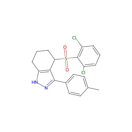 Cc1ccc(-c2n[nH]c3c2C(S(=O)(=O)c2c(Cl)cccc2Cl)CCC3)cc1